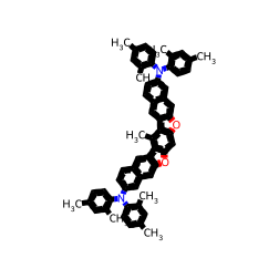 Cc1ccc(N(c2ccc3cc4c(cc3c2)oc2cc3oc5cc6cc(N(c7ccc(C)cc7C)c7ccc(C)cc7C)ccc6cc5c3c(C)c24)c2ccc(C)cc2C)c(C)c1